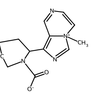 C[N+]12C=CN=CC1=C(C1CCCCN1C(=O)[O-])N=C2